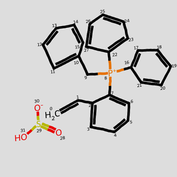 C=Cc1ccccc1[P+](Cc1ccccc1)(c1ccccc1)c1ccccc1.O=S([O-])O